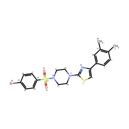 Cc1ccc(-c2csc(N3CCN(S(=O)(=O)c4ccc(Br)cc4)CC3)n2)cc1C